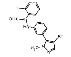 Cn1ncc(Br)c1-c1cccc(NN(C=O)c2ccccc2F)c1